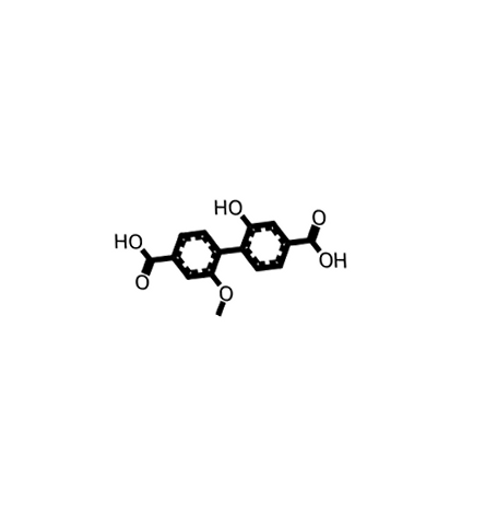 COc1cc(C(=O)O)ccc1-c1ccc(C(=O)O)cc1O